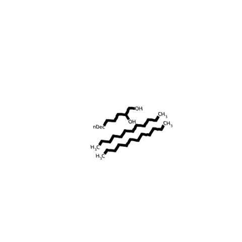 CCCCCCCCCCCC.CCCCCCCCCCCC.CCCCCCCCCCCCCC(O)CO